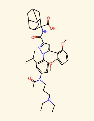 CCN(CC)CCCN(C(C)=O)c1ccc(-n2nc(C(=O)NC3(C(=O)O)C4CC5CC(C4)CC3C5)cc2-c2c(OC)cccc2OC)c(C(C)C)c1